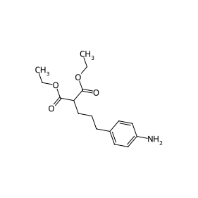 CCOC(=O)C(CCCc1ccc(N)cc1)C(=O)OCC